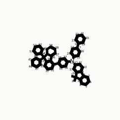 CC1(C)c2ccccc2-c2ccc(N(c3ccc(-c4ccccc4)cc3)c3ccc(-c4cccc5c4C4=CC=CCC4C5(c4ccccc4)c4ccccc4)cc3)cc21